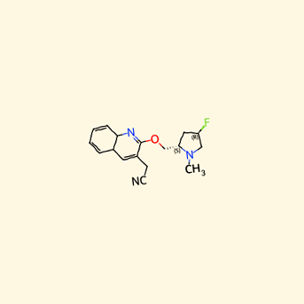 CN1C[C@H](F)C[C@H]1COC1=NC2C=CC=CC2C=C1CC#N